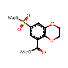 CNS(=O)(=O)c1cc2c(c(C(=O)OC)c1)OCCO2